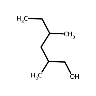 CCC(C)CC(C)CO